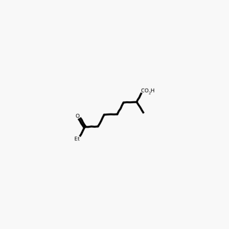 CCC(=O)CCCCC(C)C(=O)O